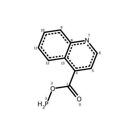 O=C(OP)c1ccnc2ccccc12